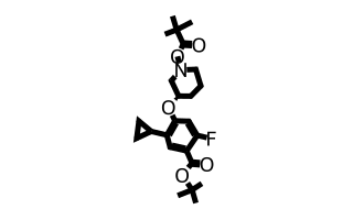 CC(C)(C)OC(=O)c1cc(C2CC2)c(O[C@@H]2CCCN(OC(=O)C(C)(C)C)C2)cc1F